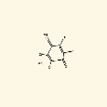 O=C1C([O-])=C(Cl)C(=O)C([O-])=C1Cl.[Ag+].[Ag+]